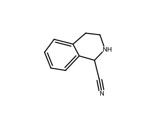 N#CC1NCCc2ccccc21